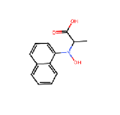 CC(C(=O)O)N(O)c1cccc2ccccc12